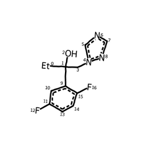 CCC(O)(Cn1cncn1)c1cc(F)ccc1F